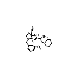 COc1cccc(CN2CCC(C#N)(NC(=O)C(N)CC3CCCCC3)C2)c1